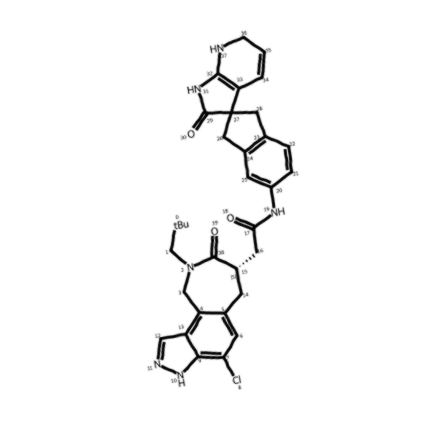 CC(C)(C)CN1Cc2c(cc(Cl)c3[nH]ncc23)C[C@@H](CC(=O)Nc2ccc3c(c2)CC2(C3)C(=O)NC3=C2C=CCN3)C1=O